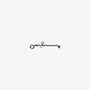 O=C(CCCCCCCCC1CC1)OCC=CC1CCCCC1